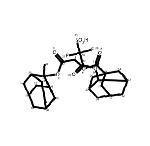 CC1(OC(=O)COC(=O)C23CC4CC(C2)C(OC(=O)C(F)(F)S(=O)(=O)O)C(C4)C3)C2CC3CC(C2)CC1C3